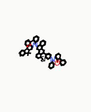 CC1(C)c2ccccc2-c2ccc(N(c3ccccc3-c3ccccc3)c3cc4c5cccc6c5c(cc4c4ccccc34)-c3ccc(N(c4ccccc4)c4cccc5c4oc4ccccc45)cc3[Si]6(C)C)cc21